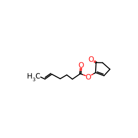 CC=CCCCC(=O)OC1=CCCC1=O